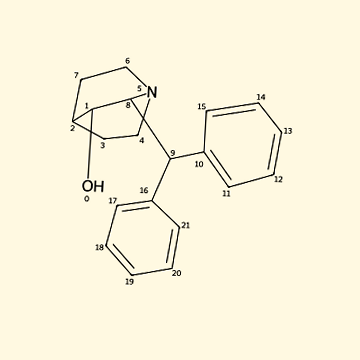 OC1C2CCN(CC2)C1C(c1ccccc1)c1ccccc1